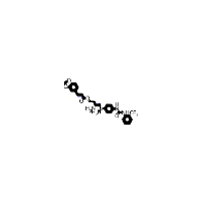 N/C(=C\N(N)c1ccc(NC(=O)Nc2ccccc2C(F)(F)F)cc1)CCOC(=O)/C=C/c1ccc2c(c1)OCO2